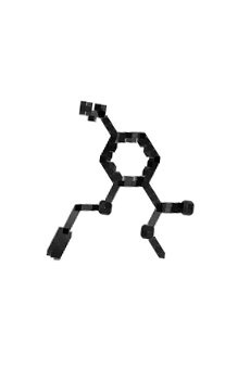 C#CCOc1cc(N)ccc1C(=O)OC